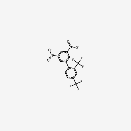 O=[N+]([O-])c1cc(-c2ccc(C(F)(F)F)cc2C(F)(F)F)cc([N+](=O)[O-])c1